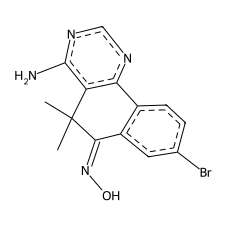 CC1(C)/C(=N/O)c2cc(Br)ccc2-c2ncnc(N)c21